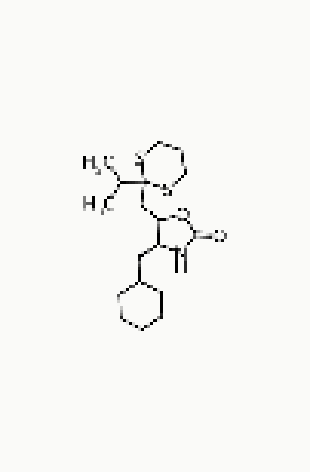 CC(C)C1(CC2OC(=O)N[C@H]2CC2CCCCC2)SCCCS1